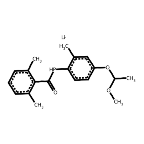 COC(C)Oc1ccc(PC(=O)c2c(C)cccc2C)c(C)c1.[Li]